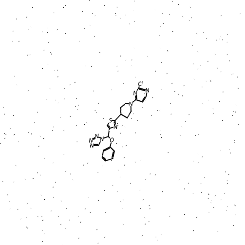 Clc1nccc(N2CCC(c3nc(C(Oc4ccccc4)n4cnnn4)cs3)CC2)n1